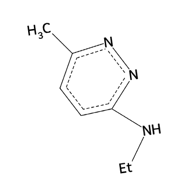 CCNc1ccc(C)nn1